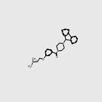 CN(C)CCOc1cccc(C(=O)N2CCN(C3c4ccccc4-c4ccccc43)CC2)c1